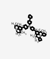 CC1(C)CCN2CCC(C)(C)c3cc(-c4ccc(N(c5ccc(-c6ccccc6)cc5)c5ccc(-c6cc7c8c(c6)C(C)(C)c6ccccc6N8c6ccccc6C7(C)C)cc5)cc4)cc1c32